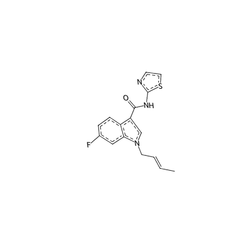 CC=CCn1cc(C(=O)Nc2nccs2)c2ccc(F)cc21